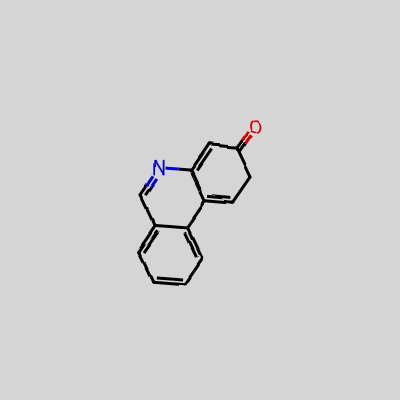 O=C1C=c2ncc3ccccc3c2=CC1